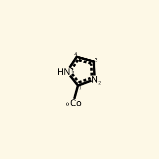 [Co][c]1ncc[nH]1